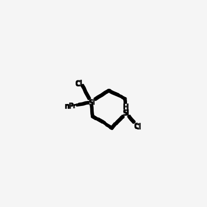 CCC[Si]1(Cl)CC[SiH](Cl)CC1